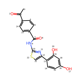 CC(=O)c1ccc(C(=O)Nc2nc(-c3ccc(O)cc3O)cs2)cc1